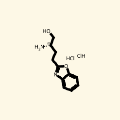 Cl.Cl.N[C@H](CO)CCc1nc2ccccc2o1